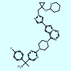 CC(N)(c1ccc(F)cc1)c1cnc(N2CCN(c3ncnn4cc(-c5cnn(CC6(OC7CCCCO7)CC6)c5)cc34)CC2)nc1